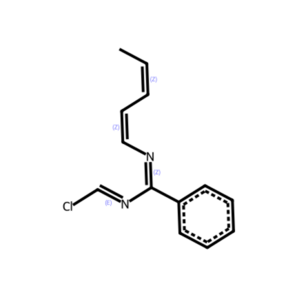 C\C=C/C=C\N=C(/N=C/Cl)c1ccccc1